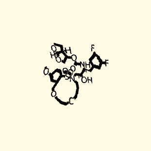 COc1ccc2c(c1)COCCCCCCCN(C[C@@H](O)[C@H](Cc1cc(F)cc(F)c1)NC(=O)OC1CO[C@H]3OCC[C@@H]13)S2(=O)=O